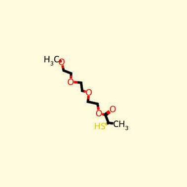 COCCOCCOCCOC(=O)C(C)S